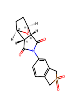 O=C1[C@@H]2[C@H](C(=O)N1c1ccc3c(c1)CS(=O)(=O)C3)[C@H]1CC[C@@H]2O1